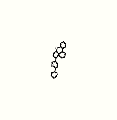 c1ccc(-c2ccc(-c3ccc4c5c(cccc35)-c3ccccc3O4)cn2)nc1